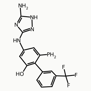 Nc1nc(Nc2cc(O)c(-c3cccc(C(F)(F)F)c3)c(P)c2)n[nH]1